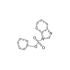 O=S(=O)(Oc1ccccc1)n1cnc2ccccc21